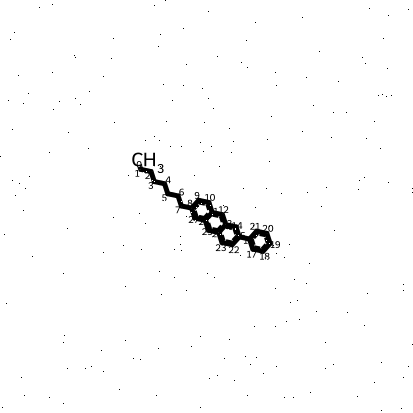 CCCCCCCCc1ccc2cc3cc(-c4ccccc4)ccc3cc2c1